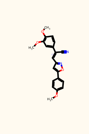 COc1ccc(-c2cc(/C=C(\C#N)c3ccc(OC)c(OC)c3)no2)cc1